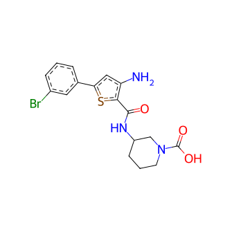 Nc1cc(-c2cccc(Br)c2)sc1C(=O)NC1CCCN(C(=O)O)C1